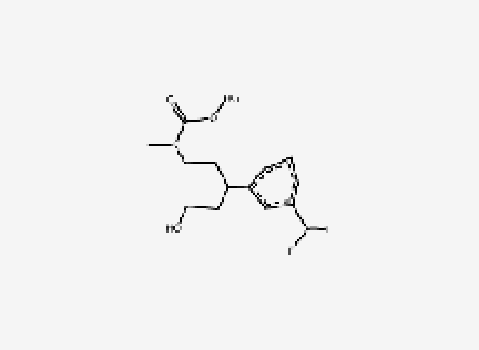 CN(CCC(CCO)c1cccc(C(F)F)c1)C(=O)OC(C)(C)C